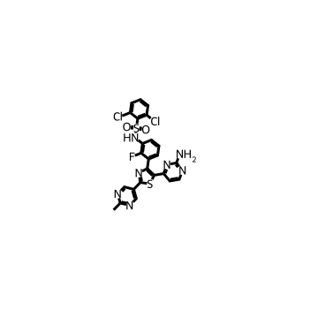 Cc1ncc(-c2nc(-c3cccc(NS(=O)(=O)c4c(Cl)cccc4Cl)c3F)c(-c3ccnc(N)n3)s2)cn1